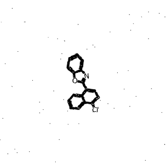 Clc1ccc(-c2nc3ccccc3o2)c2ccccc12